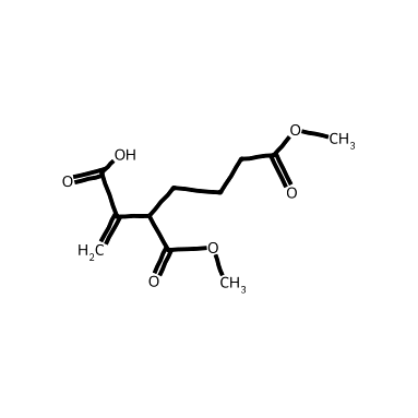 C=C(C(=O)O)C(CCCC(=O)OC)C(=O)OC